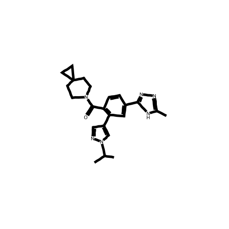 Cc1nnc(-c2ccc(C(=O)N3CCC4(CC3)CC4)c(-c3cnn(C(C)C)c3)c2)[nH]1